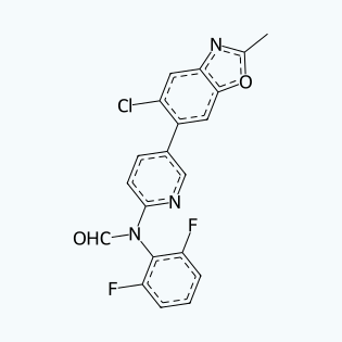 Cc1nc2cc(Cl)c(-c3ccc(N(C=O)c4c(F)cccc4F)nc3)cc2o1